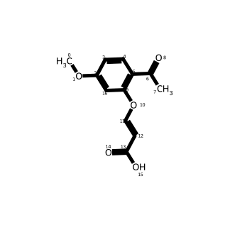 COc1ccc(C(C)=O)c(OC=CC(=O)O)c1